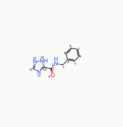 O=C(NCc1ccccc1)c1ncn[nH]1